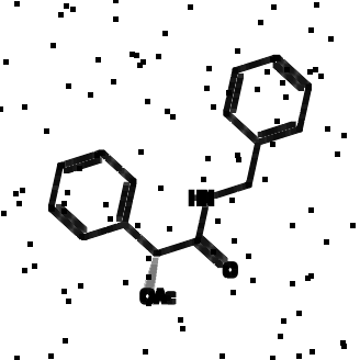 CC(=O)O[C@@H](C(=O)NCc1ccccc1)c1ccccc1